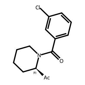 CC(=O)[C@H]1CCCCN1C(=O)c1cccc(Cl)c1